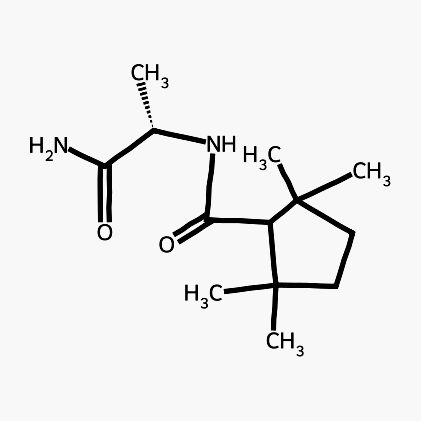 C[C@H](NC(=O)C1C(C)(C)CCC1(C)C)C(N)=O